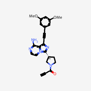 C#CC(=O)N1CC[C@@H](c2nc(C#Cc3cc(OC)cc(OC)c3)c3c(N)nccn23)C1